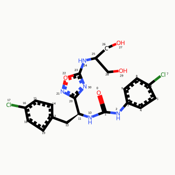 O=C(Nc1ccc(Cl)cc1)N[C@@H](Cc1ccc(Cl)cc1)c1noc(NC(CO)CO)n1